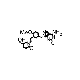 COc1ccc(Cn2ncc3c(N)nc(Cl)nc32)cc1CCn1cc(CO)ccc1=O